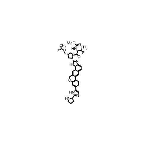 COC(=O)N[C@H](C(=O)N1C[C@@H](COC(C)F)C[C@H]1c1nc2ccc3cc4c(cc3c2[nH]1)COc1cc(-c2cnc(C3CCCN3)[nH]2)ccc1-4)C(C)F